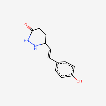 O=C1CCC(/C=C/c2ccc(O)cc2)NN1